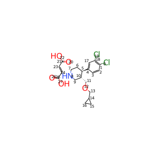 Clc1ccc([C@@H]2CCNC[C@H]2COCC2CC2)cc1Cl.O=C(O)C=CC(=O)O